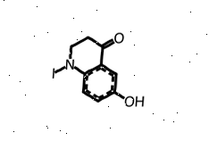 O=C1CCN(I)c2ccc(O)cc21